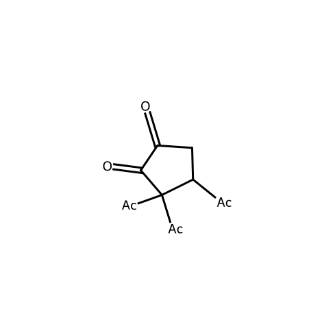 CC(=O)C1CC(=O)C(=O)C1(C(C)=O)C(C)=O